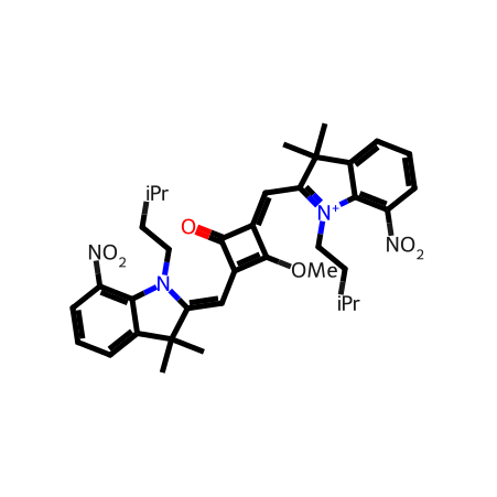 COC1=C(/C=C2\N(CCC(C)C)c3c([N+](=O)[O-])cccc3C2(C)C)C(=O)/C1=C/C1=[N+](CCC(C)C)c2c([N+](=O)[O-])cccc2C1(C)C